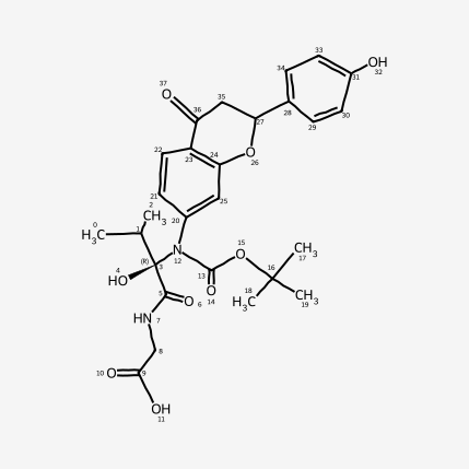 CC(C)[C@@](O)(C(=O)NCC(=O)O)N(C(=O)OC(C)(C)C)c1ccc2c(c1)OC(c1ccc(O)cc1)CC2=O